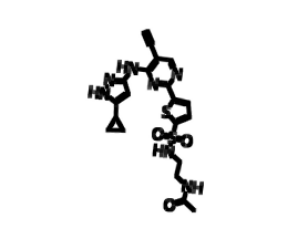 C#Cc1cnc(-c2ccc(S(=O)(=O)NCCNC(C)=O)s2)nc1Nc1cc(C2CC2)[nH]n1